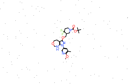 COc1ncc(-n2nc(OCC3CN(C(=O)OC(C)(C)C)CCC3(F)F)c3c2NCOCC3)cc1C